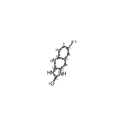 O=c1[nH]c2cc3cc(F)ccc3nc2[nH]1